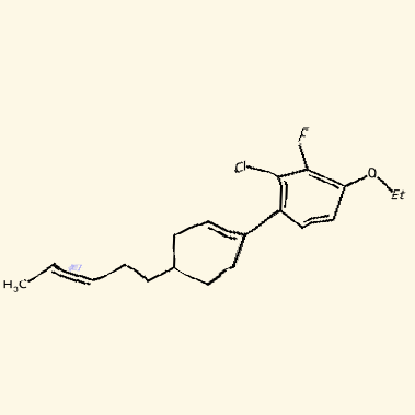 C/C=C/CCC1CC=C(c2ccc(OCC)c(F)c2Cl)CC1